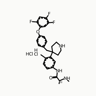 CN[C@@H](C)C(=O)Nc1ccc(C)c(C2(Cc3ccc(Oc4cc(F)c(F)cc4F)cc3)CCNCC2)c1.Cl.Cl